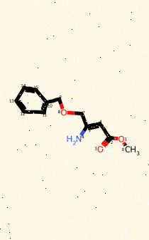 COC(=O)/C=C(\N)COCc1ccccc1